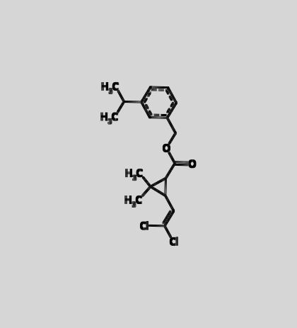 CC(C)c1cccc(COC(=O)C2C(C=C(Cl)Cl)C2(C)C)c1